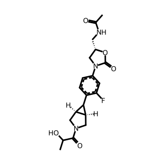 CC(=O)NC[C@H]1CN(c2ccc(C3[C@H]4CN(C(=O)C(C)O)C[C@@H]34)c(F)c2)C(=O)O1